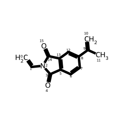 C=CN1C(=O)c2ccc(C(=C)C)cc2C1=O